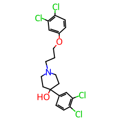 OC1(c2ccc(Cl)c(Cl)c2)CCN(CCCOc2ccc(Cl)c(Cl)c2)CC1